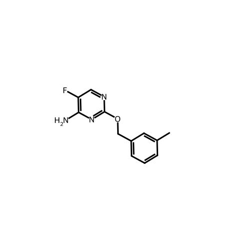 Cc1cccc(COc2ncc(F)c(N)n2)c1